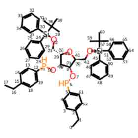 CCc1ccc(PO[C@H]2[C@H](OPc3ccc(CC)cc3)[C@H](CO[Si](c3ccccc3)(c3ccccc3)C(C)(C)C)O[C@H]2CO[Si](c2ccccc2)(c2ccccc2)C(C)(C)C)cc1